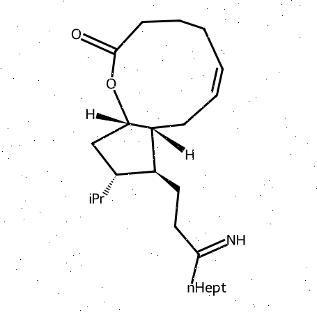 CCCCCCCC(=N)CC[C@@H]1[C@H]2C/C=C\CCCC(=O)O[C@H]2C[C@H]1C(C)C